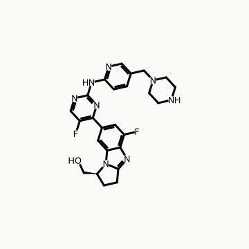 OC[C@@H]1CCc2nc3c(F)cc(-c4nc(Nc5ccc(CN6CCNCC6)cn5)ncc4F)cc3n21